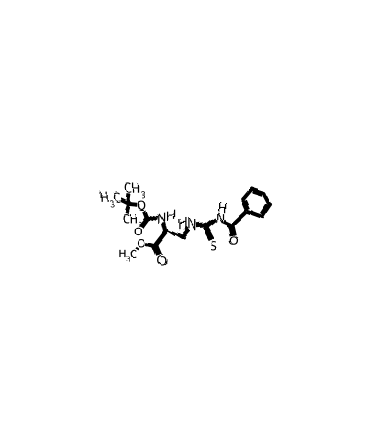 COC(=O)[C@H](CNC(=S)NC(=O)c1ccccc1)NC(=O)OC(C)(C)C